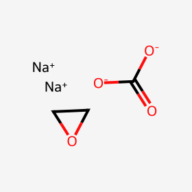 C1CO1.O=C([O-])[O-].[Na+].[Na+]